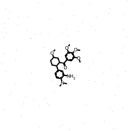 COc1cc(C(=O)C2CC(OC)CCC2c2ccc(N(C)C)c(N)c2)cc(OC)c1OC